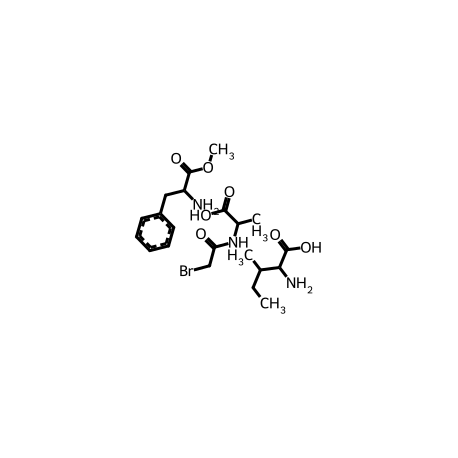 CC(NC(=O)CBr)C(=O)O.CCC(C)C(N)C(=O)O.COC(=O)C(N)Cc1ccccc1